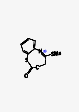 CS/C1=N/c2ccccc2SC(=O)CC1